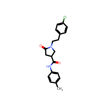 Cc1ccc(NC(=O)C2CC(=O)N(CCc3ccc(Cl)cc3)C2)cc1